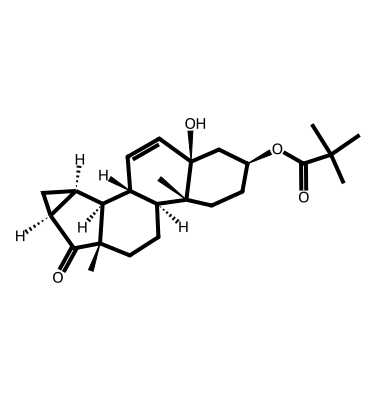 CC(C)(C)C(=O)O[C@H]1CC[C@]2(C)[C@H]3CC[C@]4(C)C(=O)[C@H]5C[C@H]5[C@H]4[C@@H]3C=C[C@]2(O)C1